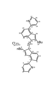 CCCCC1=Cc2c(-c3ccccn3)cccc2[CH]1[Zr+2][CH]1C(CCCC)=Cc2c(-c3ccccn3)cccc21.[Cl-].[Cl-]